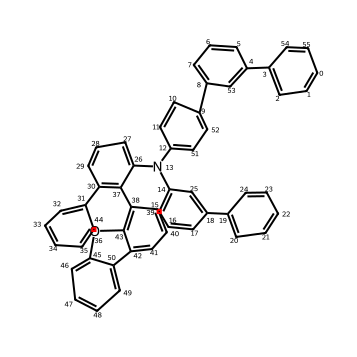 c1ccc(-c2cccc(-c3ccc(N(c4cccc(-c5ccccc5)c4)c4cccc(-c5ccccc5)c4-c4cccc5c4oc4ccccc45)cc3)c2)cc1